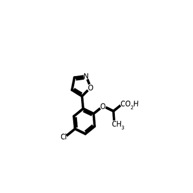 CC(Oc1ccc(Cl)cc1-c1ccno1)C(=O)O